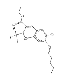 CCCCCOc1cc2c(cc1Cl)C=C(C(=O)OCC)C(C(F)(F)F)O2